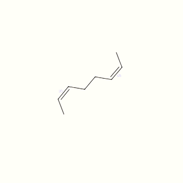 C/C=C\CC/C=C\C